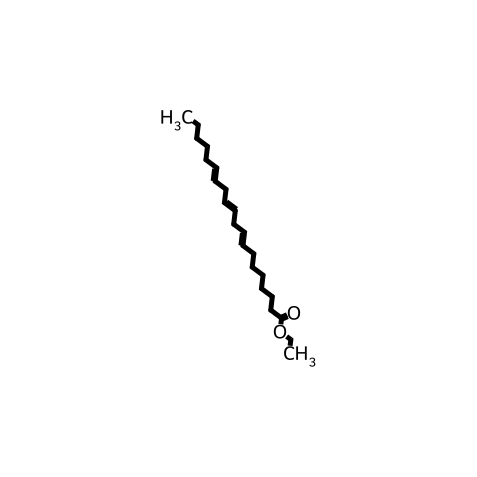 CCCCC/C=C/C/C=C/C/C=C/CCCCCCC(=O)OCC